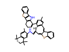 Cc1cc2c(c(C3=CCCc4c3[nH]c3c4sc4ccccc43)c1)BC(=C\Nc1cc3c(cc1C)C(C)(C)CCC3(C)C)/C=c1/sc3ccccc3/c1=C/2